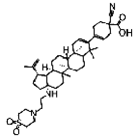 C=C(C)[C@@H]1CC[C@]2(NCCN3CCS(=O)(=O)CC3)CC[C@]3(C)[C@H](CC[C@@H]4[C@@]5(C)CC=C(C6=CCC(C#N)(C(=O)O)CC6)C(C)(C)C5CC[C@]43C)C12